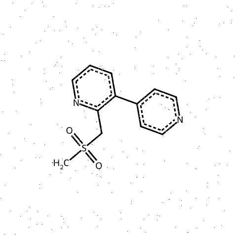 [CH2]S(=O)(=O)Cc1ncccc1-c1ccncc1